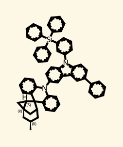 C[C@@H]1CC2C[C@]3(C1)C[C@@H]3C21c2ccccc2N(c2ccc3c(c2)c2cc(-c4ccccc4)ccc2n3-c2cccc([Si](c3ccccc3)(c3ccccc3)c3ccccc3)c2)c2ccccc21